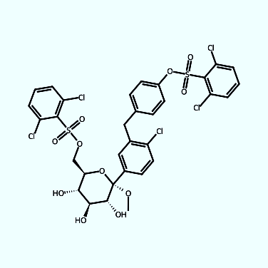 CO[C@@]1(c2ccc(Cl)c(Cc3ccc(OS(=O)(=O)c4c(Cl)cccc4Cl)cc3)c2)O[C@H](COS(=O)(=O)c2c(Cl)cccc2Cl)[C@@H](O)[C@H](O)[C@H]1O